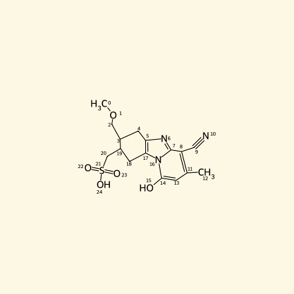 COCC1Cc2nc3c(C#N)c(C)cc(O)n3c2CC1CS(=O)(=O)O